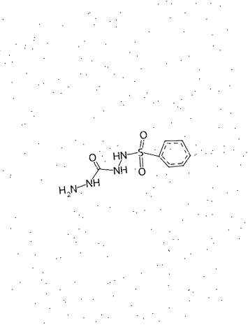 NNC(=O)NNS(=O)(=O)c1ccccc1